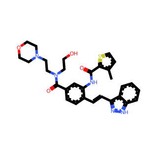 Cc1ccsc1C(=O)Nc1cc(C(=O)N(CCO)CCN2CCOCC2)ccc1/C=C/c1n[nH]c2ccccc12